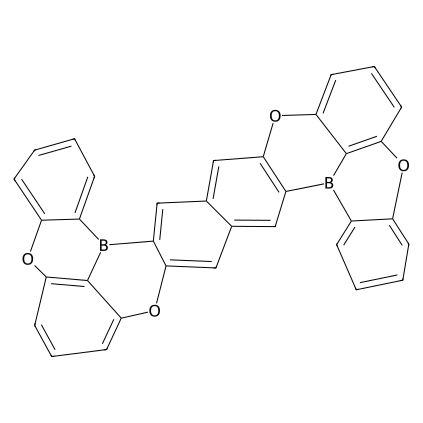 c1ccc2c(c1)Oc1cccc3c1B2c1cc2cc4c(cc2cc1O3)B1c2ccccc2Oc2cccc(c21)O4